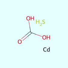 O=C(O)O.S.[Cd]